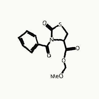 COCOC(=O)C1CSC(=O)N1C(=O)c1ccccc1